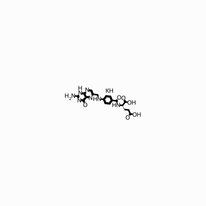 Nc1nc(=O)c2nc(CNc3ccc(C(=O)N[C@@H](CCC(=O)O)C(=O)O)cc3)cnc2[nH]1.[KH]